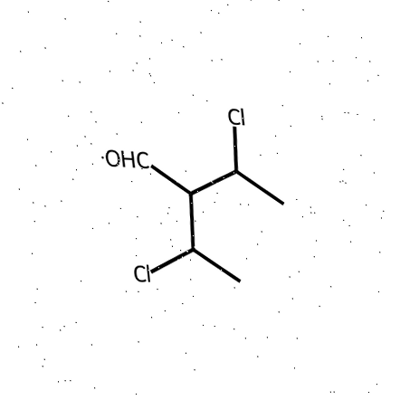 CC(Cl)C([C]=O)C(C)Cl